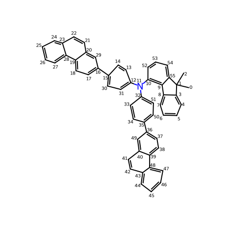 CC1(C)c2ccccc2-c2c(N(c3ccc(-c4ccc5c(ccc6ccccc65)c4)cc3)c3ccc(-c4ccc5c(ccc6ccccc65)c4)cc3)cccc21